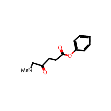 CNCC(=O)CCC(=O)Oc1ccccc1